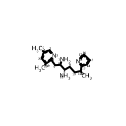 Cc1cnc(CC(N)CCCC(C)c2ccccn2)c(C)c1.N